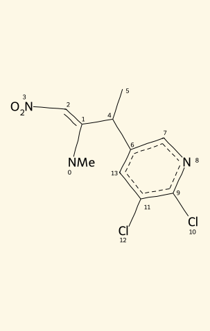 CN/C(=C\[N+](=O)[O-])C(C)c1cnc(Cl)c(Cl)c1